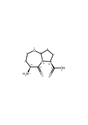 N[C@H]1CCOC2CC[C@@H](C(=O)O)N2C1=O